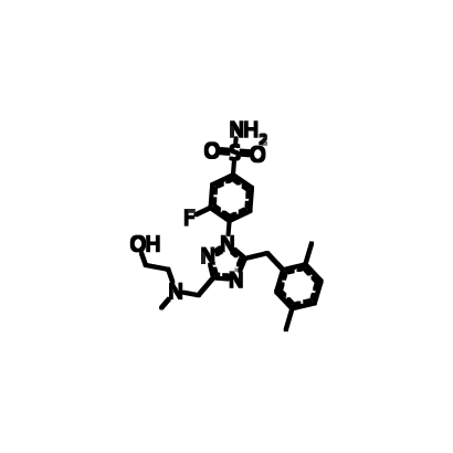 Cc1ccc(C)c(Cc2nc(CN(C)CCO)nn2-c2ccc(S(N)(=O)=O)cc2F)c1